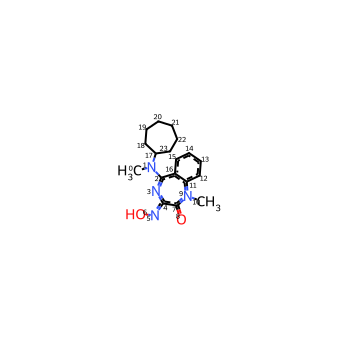 CN(c1nc(=NO)c(=O)n(C)c2ccccc12)C1CCCCCC1